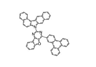 c1ccc2cc3c(cc2c1)c1c2ccccc2ccc1n3-c1nc(-c2ccc3c4ccccc4c4ccccc4c3c2)c2oc3ccccc3c2n1